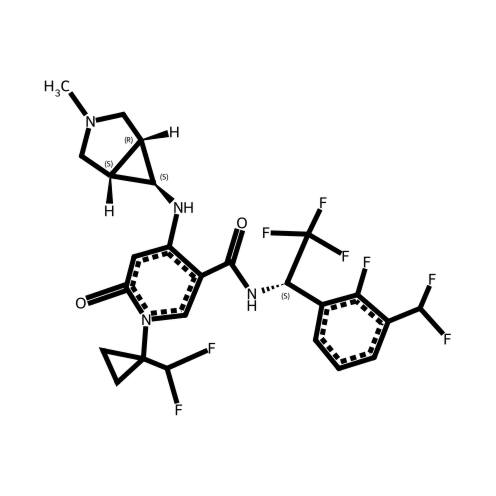 CN1C[C@@H]2[C@H](C1)[C@H]2Nc1cc(=O)n(C2(C(F)F)CC2)cc1C(=O)N[C@@H](c1cccc(C(F)F)c1F)C(F)(F)F